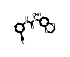 C#Cc1cccc(NC(=O)N(C=O)c2ccc3c(c2)OCCO3)c1